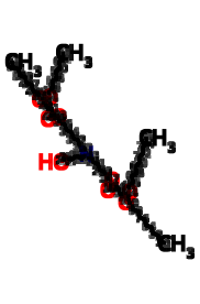 CCCCCCCCCCCOC(CCC(=O)OCCCCCCN(CCCCO)CCCCCCCCOC(=O)CCC(OCCCCCCCCC)OCCCCCCCCC)OCCCCCCCCCCC